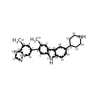 Cc1cc2c(cc1-c1cc(C)c3ncnn3c1)[nH]c1ccc(C3CCNCC3)cc12